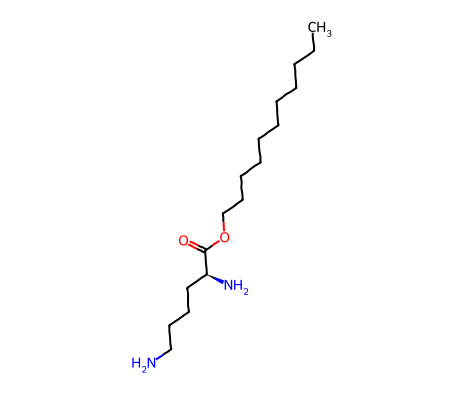 CCCCCCCCCCCOC(=O)[C@@H](N)CCCCN